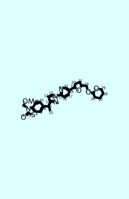 COCn1c(=O)sc2cc(C(C)c3ccn(-c4ccc(C5CCC(COC6CCCCO6)O5)cn4)n3)ccc21